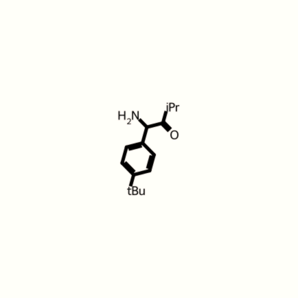 CC(C)C(=O)C(N)c1ccc(C(C)(C)C)cc1